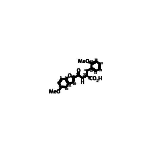 COc1ccc2oc(C(=O)N[C@@H](Cc3ccccc3OC)C(=O)O)cc2c1